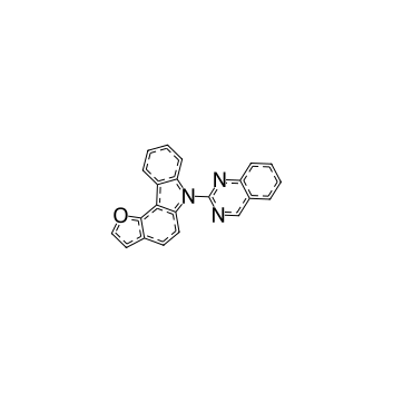 c1ccc2nc(-n3c4ccccc4c4c5occc5ccc43)ncc2c1